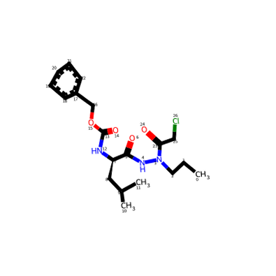 CCCN(NC(=O)[C@@H](CC(C)C)NC(=O)OCc1ccccc1)C(=O)CCl